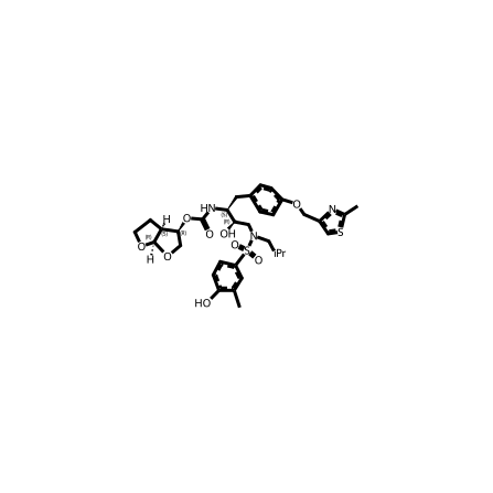 Cc1nc(COc2ccc(C[C@H](NC(=O)O[C@H]3CO[C@H]4OCC[C@H]43)[C@H](O)CN(CC(C)C)S(=O)(=O)c3ccc(O)c(C)c3)cc2)cs1